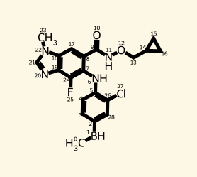 CBc1ccc(Nc2c(C(=O)NOCC3CC3)cc3c(ncn3C)c2F)c(Cl)c1